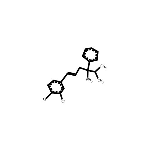 CC(C)C(N)(CC=Cc1ccc(Cl)c(Cl)c1)c1ccccc1